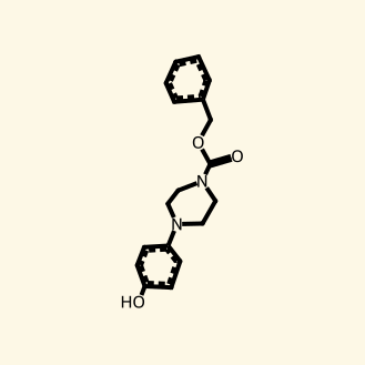 O=C(OCc1ccccc1)N1CCN(c2ccc(O)cc2)CC1